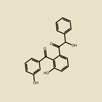 O=C(c1cccc(O)c1)c1c(O)cccc1C(=O)C(O)c1ccccc1